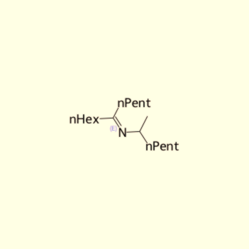 CCCCCC/C(CCCCC)=N/C(C)CCCCC